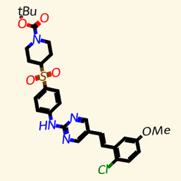 COc1ccc(Cl)c(C=Cc2cnc(Nc3ccc(S(=O)(=O)C4CCN(C(=O)OC(C)(C)C)CC4)cc3)nc2)c1